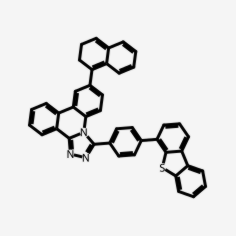 C1=c2ccccc2=C(c2ccc3c(c2)c2ccccc2c2nnc(-c4ccc(-c5cccc6c5sc5ccccc56)cc4)n32)CC1